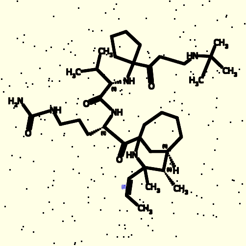 C/C=C\C1(C)NC2(C(=O)[C@H](CCCNC(N)=O)NC(=O)[C@@H](NC3(C(=O)CCNC(C)(C)C)CCCC3)C(C)C)CCCC[C@H](C2)[C@@H]1C